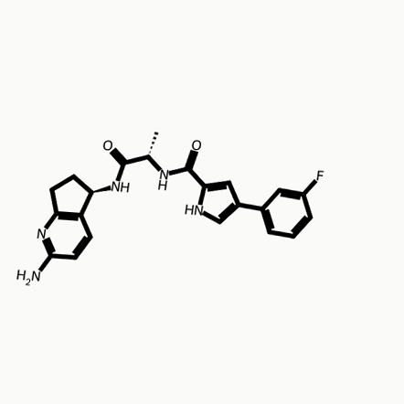 C[C@H](NC(=O)c1cc(-c2cccc(F)c2)c[nH]1)C(=O)N[C@@H]1CCc2nc(N)ccc21